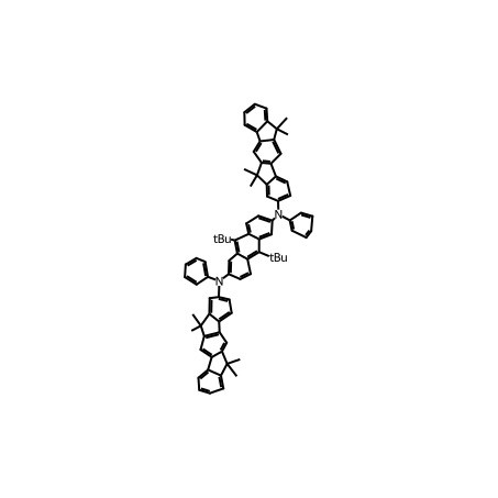 CC(C)(C)c1c2ccc(N(c3ccccc3)c3ccc4c(c3)C(C)(C)c3cc5c(cc3-4)C(C)(C)c3ccccc3-5)cc2c(C(C)(C)C)c2ccc(N(c3ccccc3)c3ccc4c(c3)C(C)(C)c3cc5c(cc3-4)C(C)(C)c3ccccc3-5)cc12